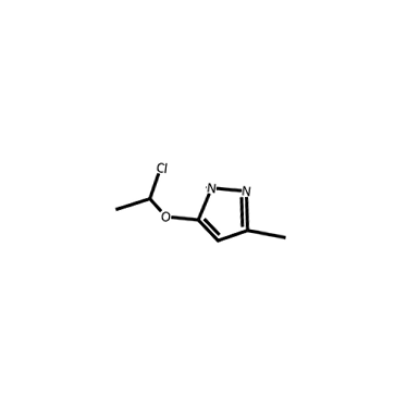 CC1=N[N]C(OC(C)Cl)=C1